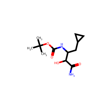 CC(C)(C)OC(=O)NC(CC1CC1)C(O)C(N)=O